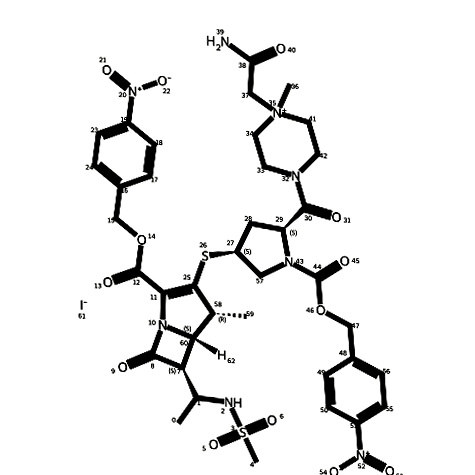 CC(NS(C)(=O)=O)[C@H]1C(=O)N2C(C(=O)OCc3ccc([N+](=O)[O-])cc3)=C(S[C@H]3C[C@@H](C(=O)N4CC[N+](C)(CC(N)=O)CC4)N(C(=O)OCc4ccc([N+](=O)[O-])cc4)C3)[C@H](C)[C@H]12.[I-]